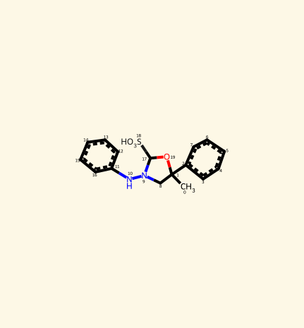 CC1(c2ccccc2)CN(Nc2ccccc2)C(S(=O)(=O)O)O1